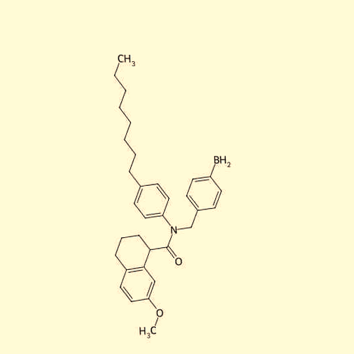 Bc1ccc(CN(C(=O)C2CCCc3ccc(OC)cc32)c2ccc(CCCCCCCC)cc2)cc1